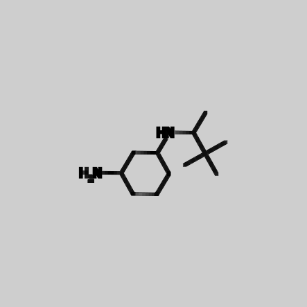 CC(NC1CCCC(N)C1)C(C)(C)C